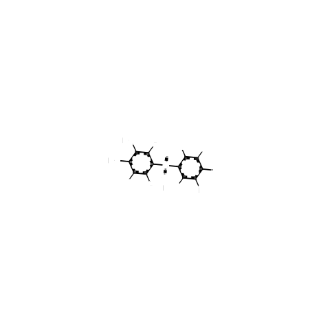 Cc1c(F)c(C)c(S(=O)(=O)c2c(F)c(C)c(C)c(F)c2F)c(F)c1F